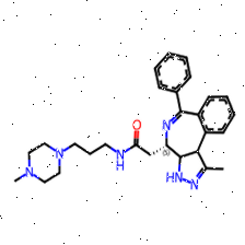 CC1=NNC2C1c1ccccc1C(c1ccccc1)=N[C@H]2CC(=O)NCCCN1CCN(C)CC1